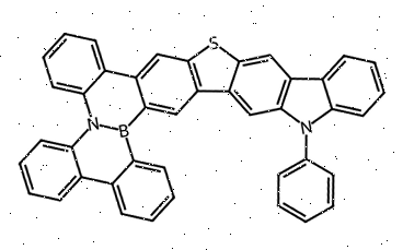 c1ccc(-n2c3ccccc3c3cc4sc5cc6c(cc5c4cc32)B2c3ccccc3-c3ccccc3N2c2ccccc2-6)cc1